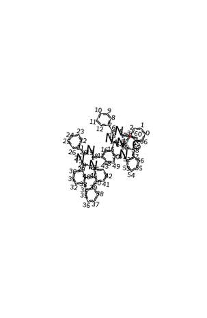 c1ccc(-c2nc(-c3ccccc3)nc(-c3cc(-c4nc(-c5ccccc5)nc(-c5cccc6c7ccccc7c7ccccc7c56)n4)ccc3-n3c4ccccc4c4ccccc43)n2)cc1